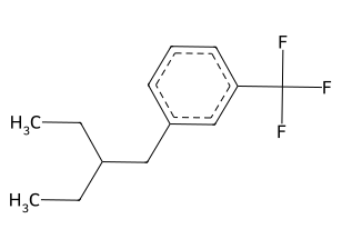 CCC(CC)Cc1cccc(C(F)(F)F)c1